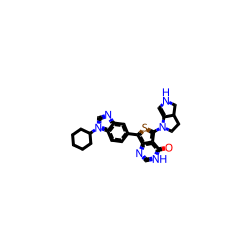 O=c1[nH]cnc2c(-c3ccc4c(c3)ncn4C3CCCCC3)sc(N3CCC4CNC=C43)c12